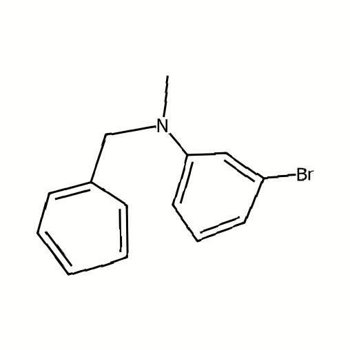 CN(Cc1ccccc1)c1cccc(Br)c1